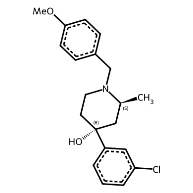 COc1ccc(CN2CC[C@](O)(c3cccc(Cl)c3)C[C@@H]2C)cc1